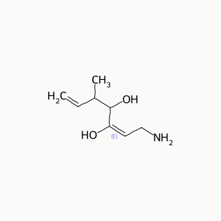 C=CC(C)C(O)/C(O)=C\CN